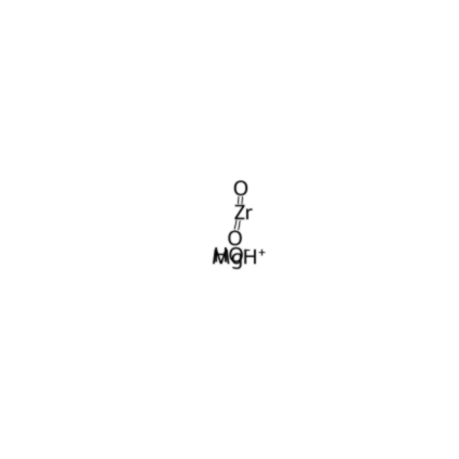 [MgH+].[OH-].[O]=[Zr]=[O]